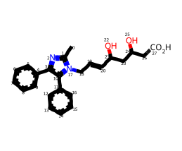 Cc1nc(-c2ccccc2)c(-c2ccccc2)n1CC=CC(O)CC(O)CC(=O)O